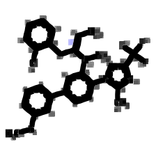 CSc1cccc(-c2ccc(-n3cc(C(F)(F)F)nc3C)c(N(N)/C(=C\N)Cc3ccccc3Cl)c2)c1